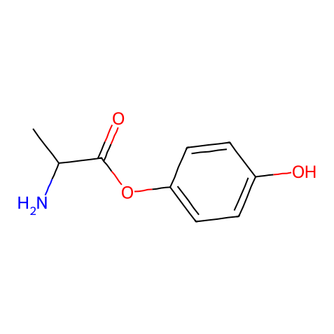 CC(N)C(=O)Oc1ccc(O)cc1